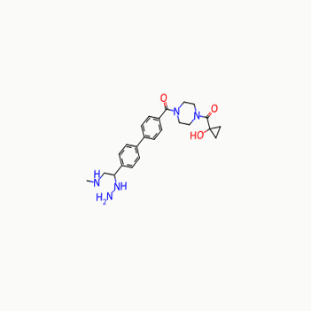 CNCC(NN)c1ccc(-c2ccc(C(=O)N3CCN(C(=O)C4(O)CC4)CC3)cc2)cc1